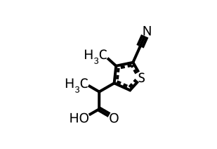 Cc1c(C(C)C(=O)O)csc1C#N